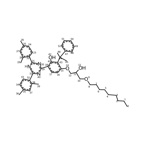 CCCCCCCCCOCC(O)COc1ccc(-c2nc(-c3ccc(C)cc3C)nc(-c3ccc(C)cc3C)n2)c(O)c1C(C)(C)c1ccccc1